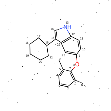 Cc1c[c]cc(C)c1Oc1ccc2[nH]cc(C3CCCCC3)c2c1